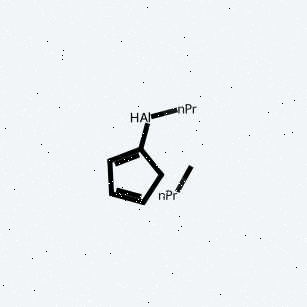 CCCC.CC[CH2][AlH][C]1=CC=CC1